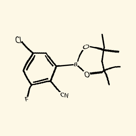 CC1(C)OB(c2cc(Cl)cc(F)c2C#N)OC1(C)C